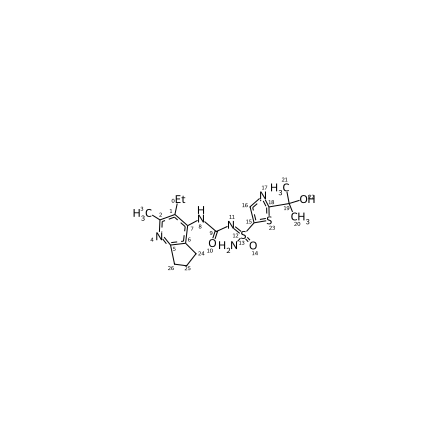 CCc1c(C)nc2c(c1NC(=O)N=S(N)(=O)c1cnc(C(C)(C)O)s1)CCC2